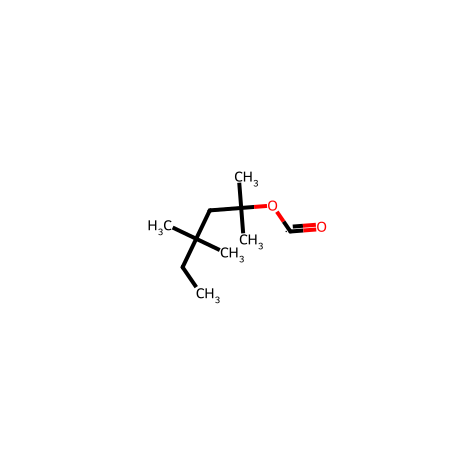 CCC(C)(C)CC(C)(C)O[C]=O